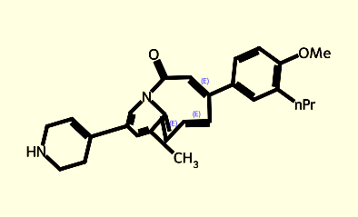 CCCc1cc(C2=C\C(=O)N3C=C(C4=CCNCC4)C=C(C)\C3=C/C=C/2)ccc1OC